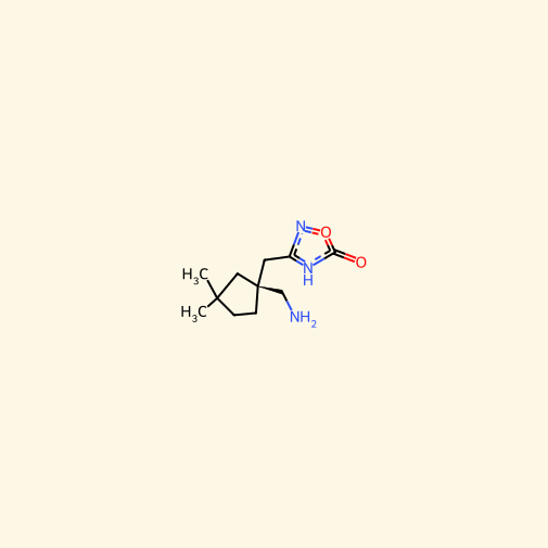 CC1(C)CC[C@@](CN)(Cc2noc(=O)[nH]2)C1